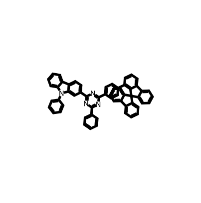 c1ccc(-c2nc(-c3ccc(-c4cccc5c4C4(c6ccccc6-c6ccccc64)c4ccccc4-5)cc3)nc(-c3ccc4c5ccccc5n(-c5ccccc5)c4c3)n2)cc1